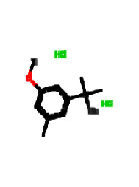 Cc1cc([O][Ti])cc([Si](C)(C)C(C)(C)C)c1.Cl.Cl